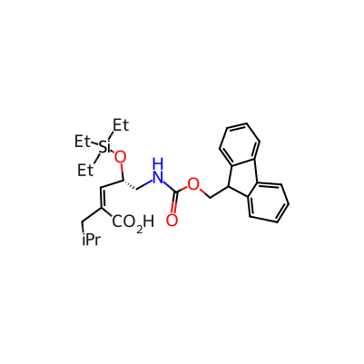 CC[Si](CC)(CC)O[C@@H](C=C(CC(C)C)C(=O)O)CNC(=O)OCC1c2ccccc2-c2ccccc21